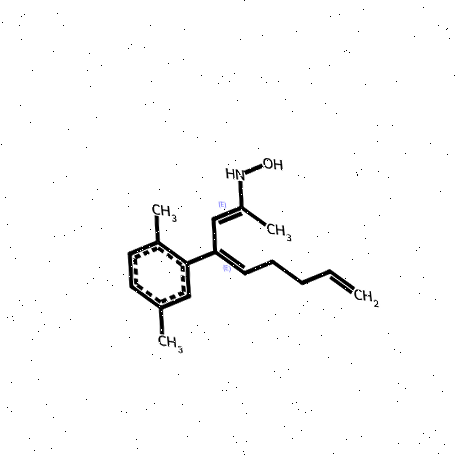 C=CCC/C=C(\C=C(/C)NO)c1cc(C)ccc1C